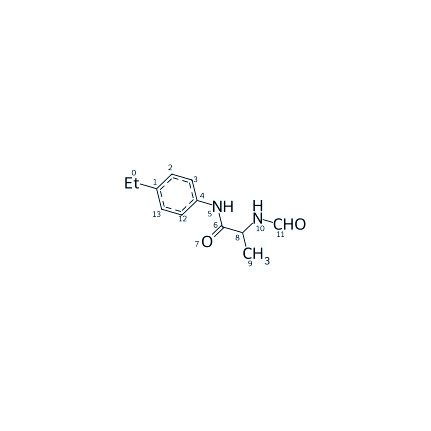 CCc1ccc(NC(=O)C(C)NC=O)cc1